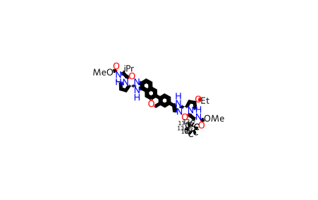 CCO[C@H]1C[C@@H](c2ncc(-c3ccc4c(c3)COc3cc5c(ccc6nc([C@@H]7CC[C@H](C)N7C(=O)[C@@H](NC(=O)OC)C(C)C)[nH]c65)cc3-4)[nH]2)N(C(=O)[C@H](NC(=O)OC)[13c]2[13cH][13cH][13cH][13cH][13cH]2)C1